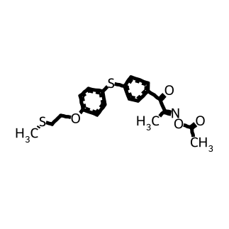 CSCCOc1ccc(Sc2ccc(C(=O)/C(C)=N/OC(C)=O)cc2)cc1